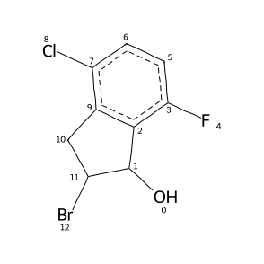 OC1c2c(F)ccc(Cl)c2CC1Br